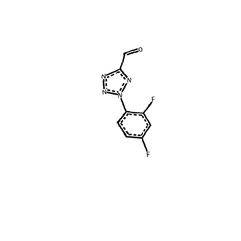 O=Cc1nnn(-c2ccc(F)cc2F)n1